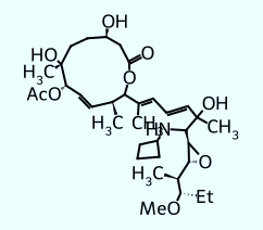 CC[C@H](OC)[C@@H](C)[C@H]1O[C@@H]1C(NC1CCC1)C(C)(O)/C=C/C=C(\C)C1OC(=O)C[C@H](O)CC[C@@](C)(O)[C@@H](OC(C)=O)/C=C/[C@@H]1C